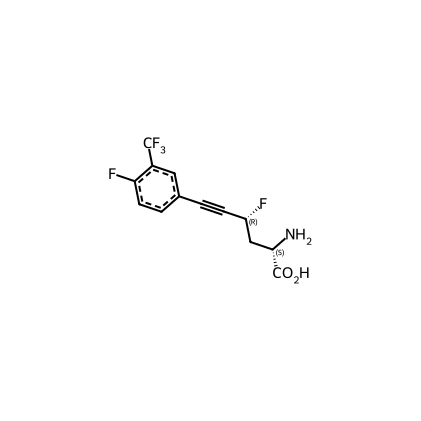 N[C@@H](C[C@@H](F)C#Cc1ccc(F)c(C(F)(F)F)c1)C(=O)O